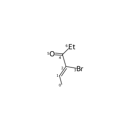 C/C=C(\Br)C(=O)CC